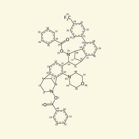 O=C(ON1CCC2CC1c1c2ccc(C2CC3CC(c4c(-c5ccc(C(F)(F)F)cc5)cccc43)N2OC(=O)c2ccccc2)c1N1CCOCC1)c1ccccc1